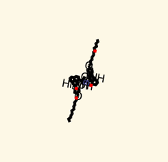 CCCCCCCCCCCCOc1ccc(B2N=c3/c(=C4\C(=O)C(c5ccc6cccc7c6c5NB(c5ccc(OCCCCCCCCCCCC)cc5)N7)=C4O)ccc4cccc(c34)N2)cc1